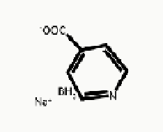 B.O=C([O-])c1ccncc1.[Na+]